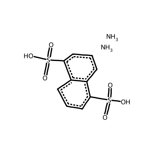 N.N.O=S(=O)(O)c1cccc2c(S(=O)(=O)O)cccc12